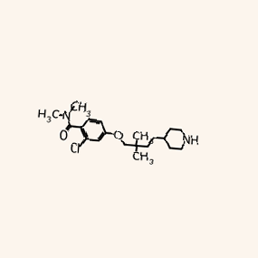 CN(C)C(=O)c1ccc(OCC(C)(C)CCC2CCNCC2)cc1Cl